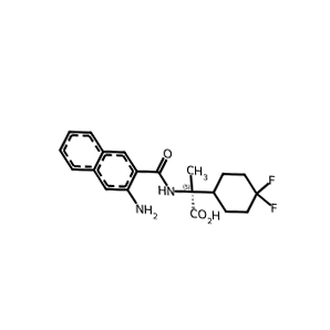 C[C@@](NC(=O)c1cc2ccccc2cc1N)(C(=O)O)C1CCC(F)(F)CC1